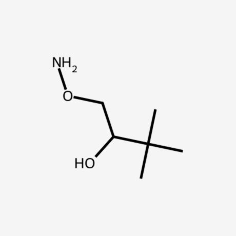 CC(C)(C)C(O)CON